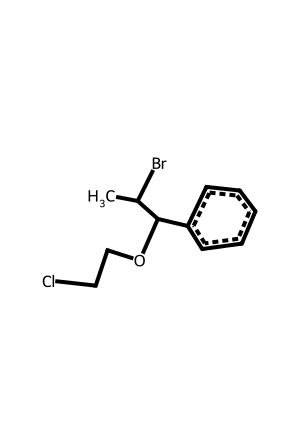 CC(Br)C(OCCCl)c1ccccc1